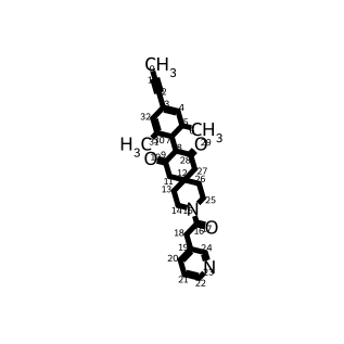 CC#CC1=CC(C)C(C2C(=O)CC3(CCN(C(=O)Cc4cccnc4)CC3)CC2=O)C(C)=C1